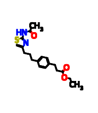 CCOC(=O)CCc1ccc(CCCc2csc(NC(C)=O)n2)cc1